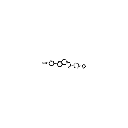 CCCCc1ccc(-c2ccc3c(c2)CCN(CC(=O)N2CCN(C4CCC4)CC2)C3)cc1